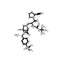 C[C@@H](c1ccc(S(N)(=O)=O)cc1)N1C(=O)C2C[C@H]1CN2CC(NC(=O)OC(C)(C)C)C(=O)N1CCCC1C#N